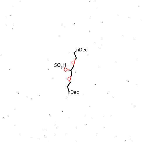 CCCCCCCCCCCCOCC(COCCCCCCCCCCCC)OS(=O)(=O)O